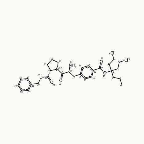 CCCC(CCCl)(CCCl)OC(=O)c1ccc(C[C@H](N)C(=O)N2CCC[C@H]2C(=O)OCc2ccccc2)cc1